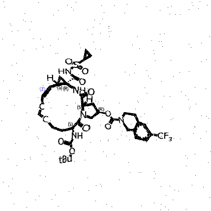 CC(C)(C)OC(=O)N[C@H]1CCCCC/C=C\[C@@H]2C[C@@]2(C(=O)NS(=O)(=O)C2CC2)NC(=O)[C@@H]2C[C@@H](OC(=O)N3CCc4cc(C(F)(F)F)ccc4C3)CN2C1=O